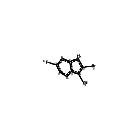 N#Cc1c(Br)[nH]c2cc(F)ccc12